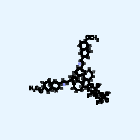 COc1ccc2cc(/C=C/c3cccc4[n+]3CCCc3ccc5c(c3-4)-c3cccc(/C=C/c4ccc6cc(OC)ccc6c4)[n+]3CCC5)ccc2c1.O=S(=O)([O-])C(F)(F)F.O=S(=O)([O-])C(F)(F)F